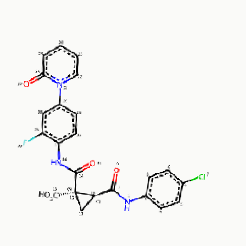 O=C(Nc1ccc(Cl)cc1)[C@H]1C[C@@]1(C(=O)O)C(=O)Nc1ccc(-n2ccccc2=O)cc1F